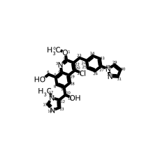 COc1nc2c(CO)cc(C(O)c3cncn3C)cc2c(Cl)c1Cc1ccc(-n2cccn2)cc1